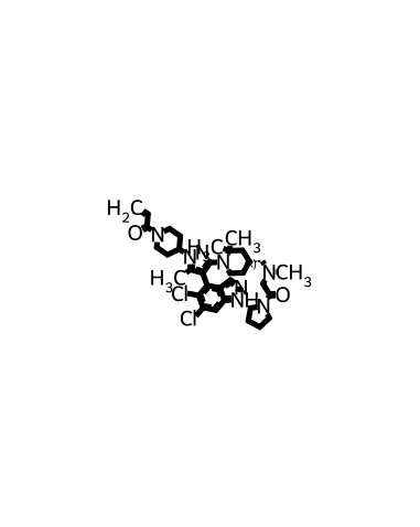 C=CC(=O)N1CCC(n2nc(N3CC[C@@H](CN(C)CC(=O)N4CCCC4)CC3(C)C)c(-c3c(Cl)c(Cl)cc4[nH]ncc34)c2C)CC1